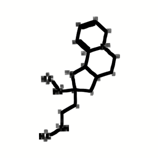 CNCCC1(NC)CC2CCN3CC=CC=C3C2S1